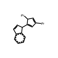 CC(C)C1=CC(C(C)C)C(C2[C]=Cc3ccccc32)=C1